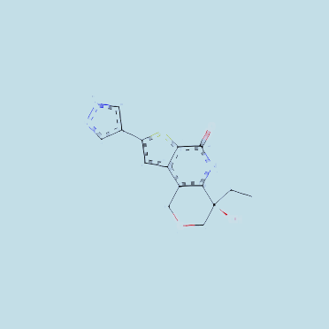 CC[C@]1(O)COCc2c1[nH]c(=O)c1sc(-c3cn[nH]c3)cc21